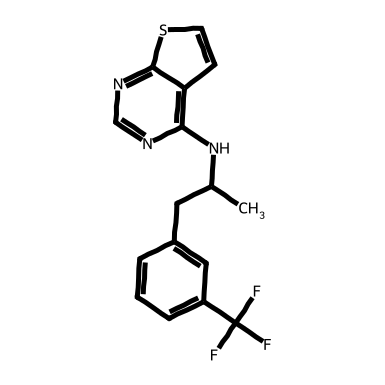 CC(Cc1cccc(C(F)(F)F)c1)Nc1ncnc2sccc12